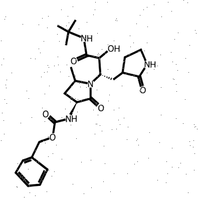 CC1C[C@H](NC(=O)OCc2ccccc2)C(=O)N1[C@@H](CC1CCNC1=O)C(O)C(=O)NC(C)(C)C